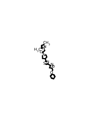 Cc1cc(C)n(CC(=O)N2CCC(c3nc(C4=NOC(COc5ccccc5)C4)cs3)CC2)n1